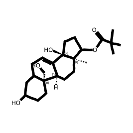 CC(C)(C)C(=O)OC1CC[C@@]2(O)C3=CCC4CC(O)CC[C@]4(CO)[C@@H]3CC[C@]12C